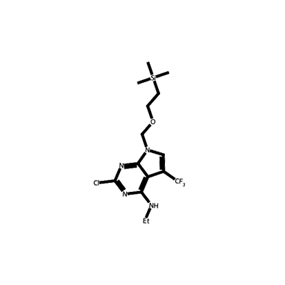 CCNc1nc(Cl)nc2c1c(C(F)(F)F)cn2COCC[Si](C)(C)C